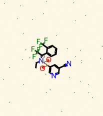 CCN([C@H](c1ccccc1C(F)(F)F)C(F)(F)F)S(=O)(=O)c1cncc(C#N)c1